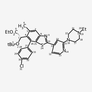 CCOC(=O)[C@@H](OC(C)(C)C)c1c(C)cc2nc(-c3ccnc(N4CCN(CC)CC4)c3)sc2c1-c1ccc(Cl)cc1